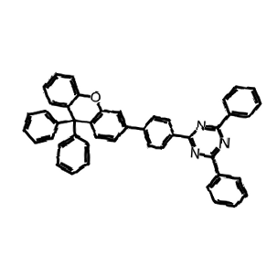 c1ccc(-c2nc(-c3ccccc3)nc(-c3ccc(-c4ccc5c(c4)Oc4ccccc4C5(c4ccccc4)c4ccccc4)cc3)n2)cc1